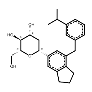 CC(C)c1cccc(Cc2cc([C@H]3C[C@@H](O)[C@H](O)[C@@H](CO)O3)cc3c2CCC3)c1